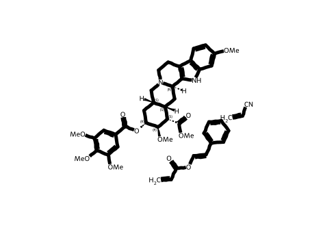 C=CC#N.C=CC(=O)OC=Cc1ccccc1.COC(=O)[C@H]1[C@H]2C[C@@H]3c4[nH]c5cc(OC)ccc5c4CCN3C[C@H]2C[C@@H](OC(=O)c2cc(OC)c(OC)c(OC)c2)[C@@H]1OC